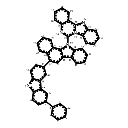 c1ccc(-c2ccc3sc4ccc(-c5cc6c7ccccc7n(-c7nc8ccccc8c8nc9ccccc9n78)c6c6ccccc56)cc4c3c2)cc1